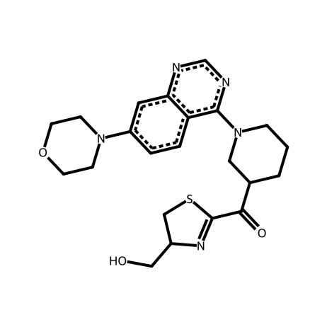 O=C(C1=NC(CO)CS1)C1CCCN(c2ncnc3cc(N4CCOCC4)ccc23)C1